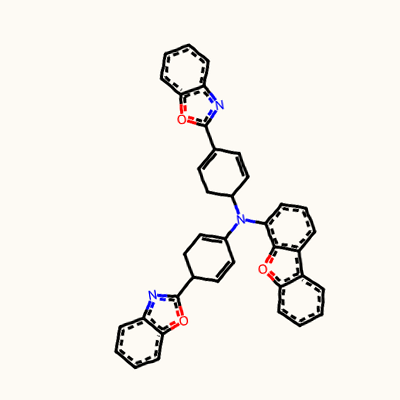 C1=CC(N(C2=CCC(c3nc4ccccc4o3)C=C2)c2cccc3c2oc2ccccc23)CC=C1c1nc2ccccc2o1